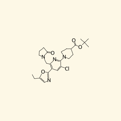 CCc1cnc(-c2cc(Cl)c(N3CCC(C(=O)OC(C)(C)C)CC3)nc2CN2CCCC2=O)o1